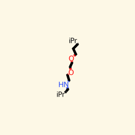 CC(C)CCCOCCOCCNCC(C)C